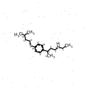 CCNCCC(C)c1ccc(SCCC(C)C)cc1